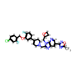 Fc1cc(Cl)ccc1COc1cc(C2=CCN(Cc3nc4cc(-c5noc(C(F)(F)F)n5)cnc4n3CC3CCO3)CC2)ccc1F